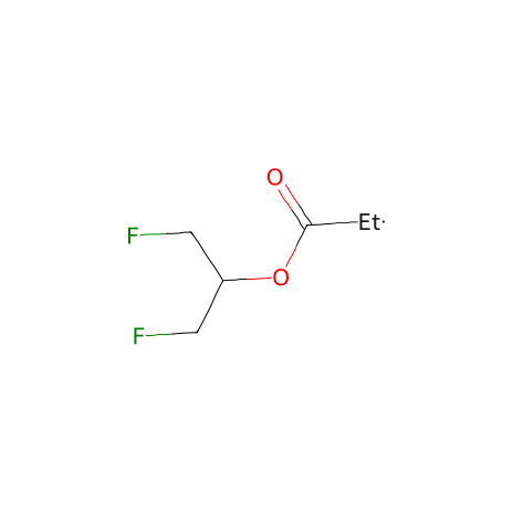 C[CH]C(=O)OC(CF)CF